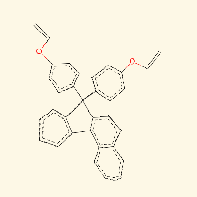 C=COc1ccc(C2(c3ccc(OC=C)cc3)c3ccccc3-c3c2ccc2ccccc32)cc1